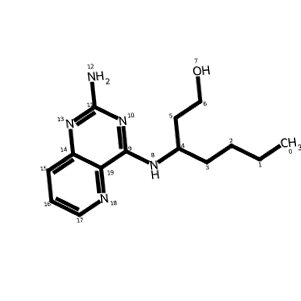 CCCCC(CCO)Nc1nc(N)nc2cccnc12